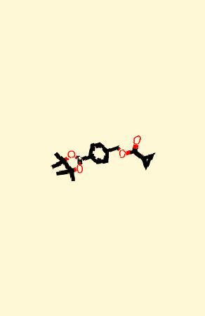 CC1(C)OB(c2ccc(COC(=O)C3CC3)cc2)OC1(C)C